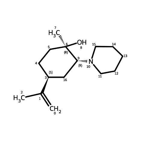 C=C(C)[C@H]1CC[C@@](C)(O)[C@H](N2CCCCC2)C1